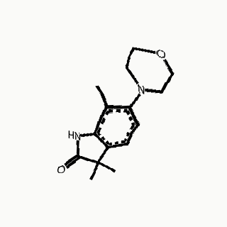 Cc1c(N2CCOCC2)ccc2c1NC(=O)C2(C)C